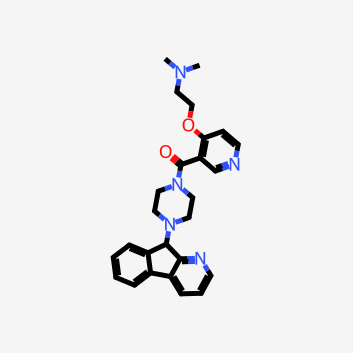 CN(C)CCOc1ccncc1C(=O)N1CCN(C2c3ccccc3-c3cccnc32)CC1